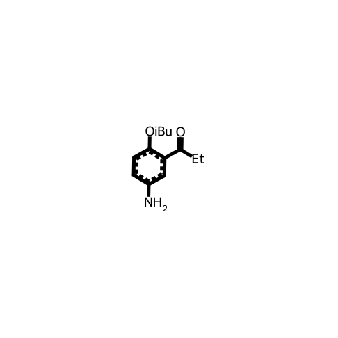 CCC(=O)c1cc(N)ccc1OCC(C)C